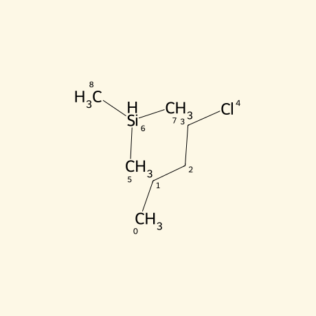 CCCCCl.C[SiH](C)C